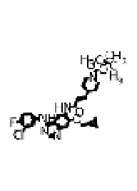 CC(C)(C)OC(=O)N1CCC(C=CC(=O)Nc2cc3c(Nc4ccc(F)c(Cl)c4)ncnc3cc2OCC2CC2)CC1